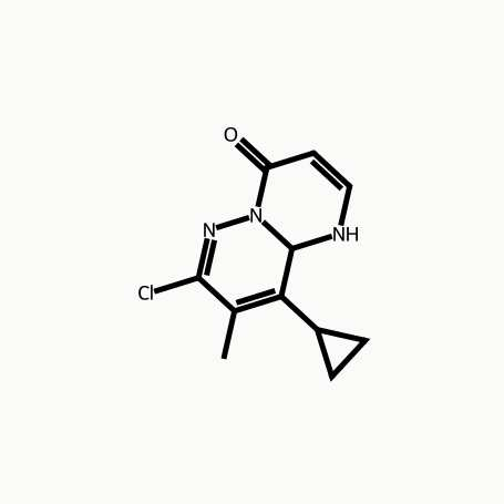 CC1=C(C2CC2)C2NC=CC(=O)N2N=C1Cl